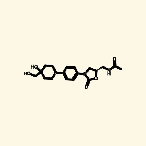 CC(=O)NC[C@H]1CN(c2ccc(N3CCC(O)(CO)CC3)cc2)C(=O)O1